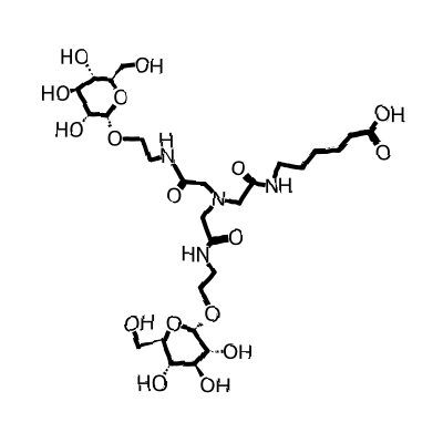 O=C(O)CCCCCNC(=O)CN(CC(=O)NCCO[C@H]1O[C@H](CO)[C@@H](O)[C@H](O)[C@H]1O)CC(=O)NCCO[C@H]1O[C@H](CO)[C@@H](O)[C@H](O)[C@H]1O